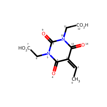 CC=C1C(=O)N(CC(=O)O)C(=O)N(CC(=O)O)C1=O